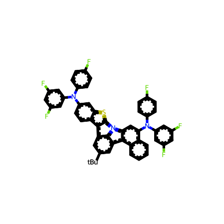 CC(C)(C)c1cc2c3c4ccccc4c(N(c4ccc(F)cc4)c4cc(F)cc(F)c4)cc3n3c4sc5cc(N(c6ccc(F)cc6)c6cc(F)cc(F)c6)ccc5c4c(c1)c23